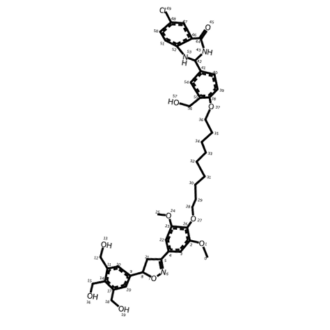 COc1cc(C2=NOC(c3cc(CO)c(CO)c(CO)c3)C2)cc(OC)c1OCCCCCCCCCOc1ccc(C2NC(=O)c3cc(Cl)ccc3N2)cc1CO